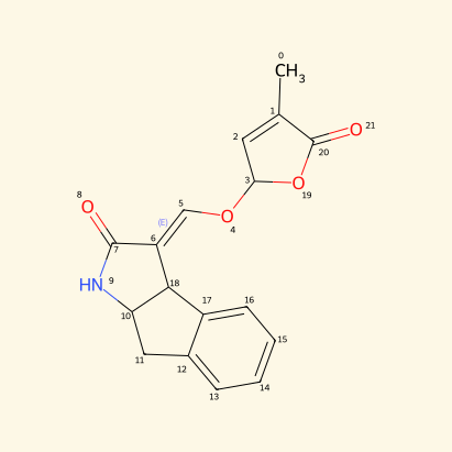 CC1=CC(O/C=C2/C(=O)NC3Cc4ccccc4C23)OC1=O